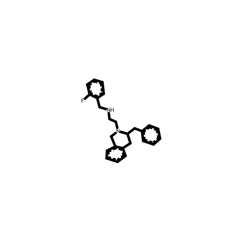 Fc1ccccc1CNCCN1Cc2ccccc2CC1Cc1ccccc1